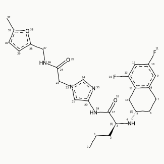 CCC[C@H](N[C@H]1CCc2cc(F)cc(F)c2C1)C(=O)Nc1cn(CC(=O)NCc2ccc(C)o2)cn1